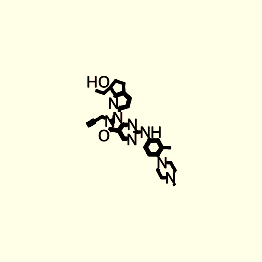 C#CCn1c(=O)c2cnc(Nc3ccc(N4CCN(C)CC4)c(C)c3)nc2n1-c1ccc2c(n1)[C@](O)(CC)CC2